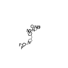 O=C1CCN(c2cnn3ccc(CC4CCN(Cc5ccc(F)c(F)c5)CC4)cc23)C(=O)N1